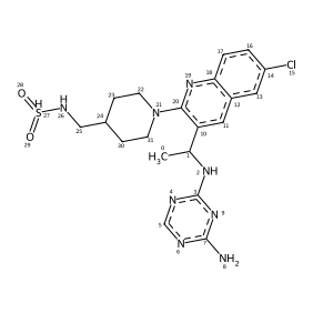 CC(Nc1ncnc(N)n1)c1cc2cc(Cl)ccc2nc1N1CCC(CN[SH](=O)=O)CC1